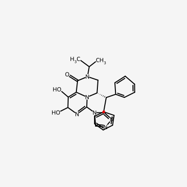 CC(C)N1C[C@H](C(c2ccccc2)c2ccccc2)N2C(n3cnnc3)=NC(O)C(O)=C2C1=O